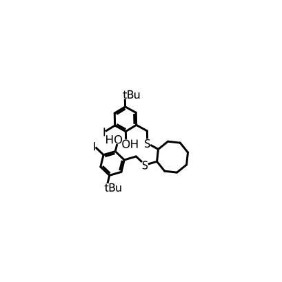 CC(C)(C)c1cc(I)c(O)c(CSC2CCCCCCC2SCc2cc(C(C)(C)C)cc(I)c2O)c1